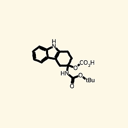 CC(C)(C)OC(=O)NC1(OC(=O)O)CCc2[nH]c3ccccc3c2C1